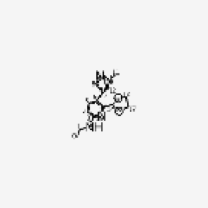 CCNc1ccc(-c2cnn(C)c2)c(C2OCCO2)n1